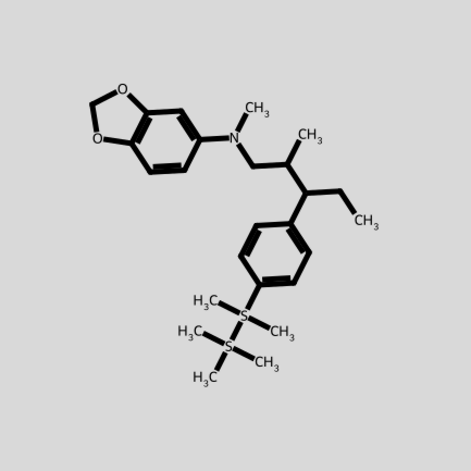 CCC(c1ccc(S(C)(C)S(C)(C)C)cc1)C(C)CN(C)c1ccc2c(c1)OCO2